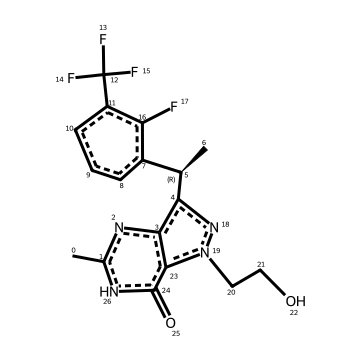 Cc1nc2c([C@H](C)c3cccc(C(F)(F)F)c3F)nn(CCO)c2c(=O)[nH]1